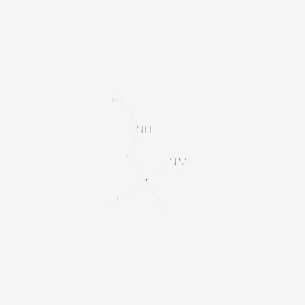 CCC(C)(CNC(C)C)NC